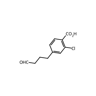 O=CCCCc1ccc(C(=O)O)c(Cl)c1